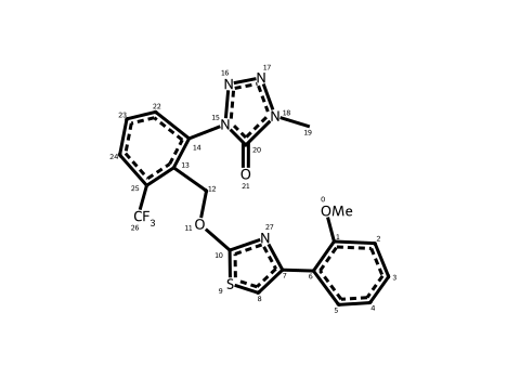 COc1ccccc1-c1csc(OCc2c(-n3nnn(C)c3=O)cccc2C(F)(F)F)n1